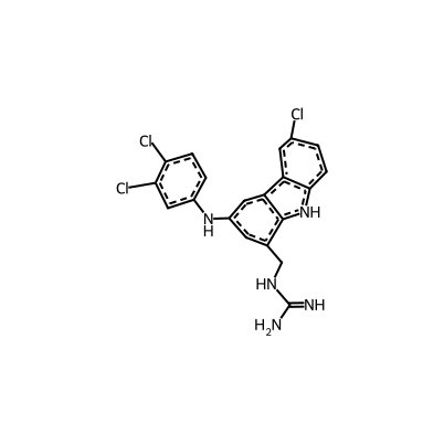 N=C(N)NCc1cc(Nc2ccc(Cl)c(Cl)c2)cc2c1[nH]c1ccc(Cl)cc12